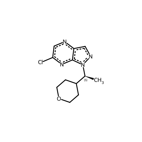 C[C@@H](C1CCOCC1)n1ncc2ncc(Cl)nc21